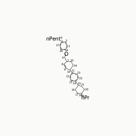 CCCCCc1ccc(OCC2C=CC(c3ccc(C4CCC(CCC)CC4)cc3)CC2)cc1